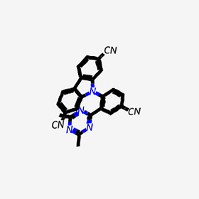 Cc1nc(C)nc(-c2cc(C#N)ccc2-n2c3cc(C#N)ccc3c3ccc(C#N)cc32)n1